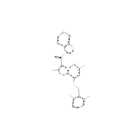 Cc1cc(OCc2c(F)cccc2F)c2nc(C)c(C(=O)n3nnc4ccccc43)n2c1